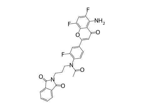 CC(=O)N(CCCN1C(=O)c2ccccc2C1=O)c1ccc(-c2cc(=O)c3c(N)c(F)cc(F)c3o2)cc1F